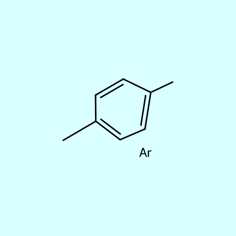 Cc1ccc(C)cc1.[Ar]